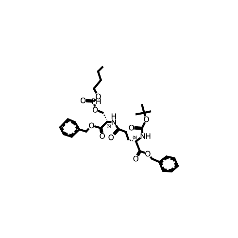 CCCCO[PH](=O)OC[C@H](NC(=O)CC[C@H](NC(=O)OC(C)(C)C)C(=O)OCc1ccccc1)C(=O)OCc1ccccc1